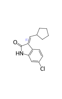 O=C1Nc2cc(Cl)ccc2/C1=C\C1CCCC1